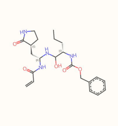 C=CC(=O)N[C@H](C[C@@H]1CCNC1=O)NC(O)[C@H](CCC)NC(=O)OCc1ccccc1